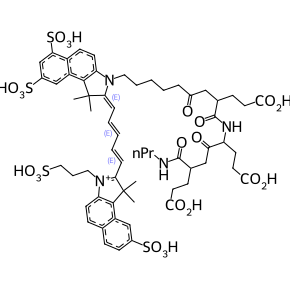 CCCNC(=O)C(CCC(=O)O)CC(=O)C(CCC(=O)O)NC(=O)C(CCC(=O)O)CC(=O)CCCCCN1/C(=C/C=C/C=C/C2=[N+](CCCS(=O)(=O)O)c3ccc4ccc(S(=O)(=O)O)cc4c3C2(C)C)C(C)(C)c2c1ccc1c(S(=O)(=O)O)cc(S(=O)(=O)O)cc21